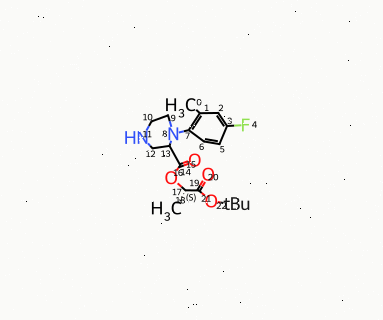 Cc1cc(F)ccc1N1CCNCC1C(=O)O[C@@H](C)C(=O)OC(C)(C)C